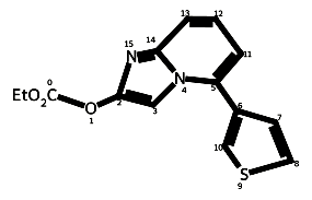 CCOC(=O)Oc1cn2c(-c3ccsc3)cccc2n1